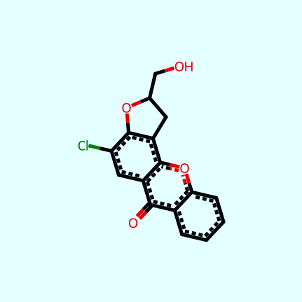 O=c1c2ccccc2oc2c3c(c(Cl)cc12)OC(CO)C3